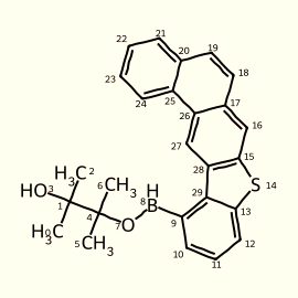 CC(C)(O)C(C)(C)OBc1cccc2sc3cc4ccc5ccccc5c4cc3c12